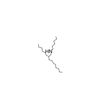 CCCCCCCCC(CCCCCC)CNCCCCCC